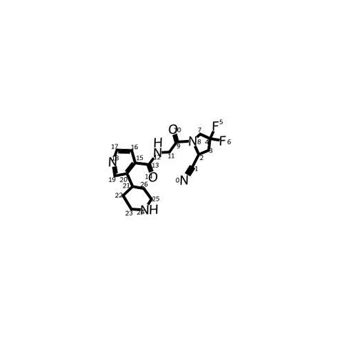 N#CC1CC(F)(F)CN1C(=O)CNC(=O)c1ccncc1C1CCNCC1